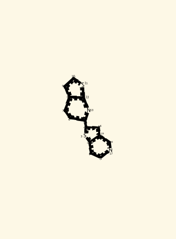 c1cc2sc(-c3ccc4ccsc4n3)cc2cn1